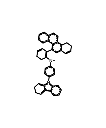 C1=CC(c2cc3c(c4ccc5ccccc5c24)CCC=C3)=C(Nc2ccc(-n3c4c(c5ccccc53)=CCCC=4)cc2)CC1